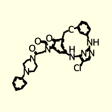 O=C(Cn1c(=O)oc2c3cc(cc21)Nc1nc(ncc1Cl)Nc1cccc(c1)CC3)N1CCN(c2ccccc2)CC1